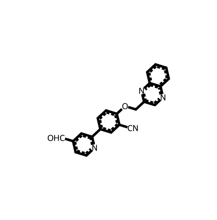 N#Cc1cc(-c2cc(C=O)ccn2)ccc1OCc1cnc2ccccc2n1